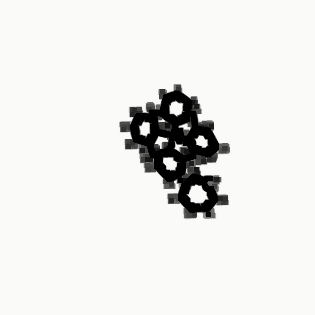 Cc1cccc[c]1[Al-]([c]1ccccc1C)([c]1ccccc1C)[c]1ccccc1C.c1ccc[cH+]cc1